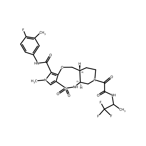 Cc1cc(NC(=O)c2c3c(cn2C)S(=O)(=O)N[C@@H]2CN(C(=O)C(=O)NC(C)C(F)(F)F)CC[C@H]2CO3)ccc1F